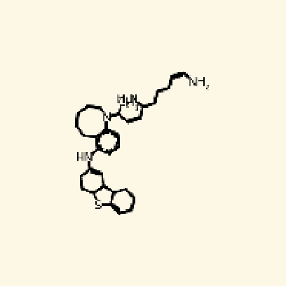 CC(/C=C\C(N)CCC/C=C\N)N1CCCCCc2c(NC3=CC4C(CC3)SC3=CCCCC34)cccc21